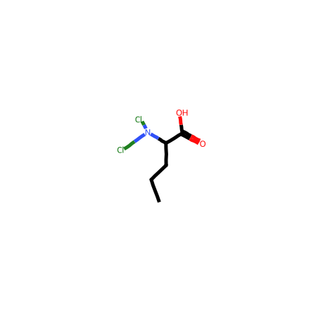 CCCC(C(=O)O)N(Cl)Cl